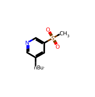 CCC[CH]c1cncc(S(C)(=O)=O)c1